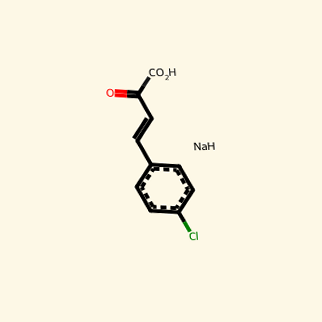 O=C(O)C(=O)C=Cc1ccc(Cl)cc1.[NaH]